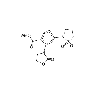 COC(=O)c1ccc(N2CCCS2(=O)=O)cc1N1CCOC1=O